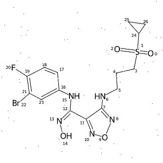 O=S(=O)(CCCNc1nonc1C(=NO)Nc1ccc(F)c(Br)c1)C1CC1